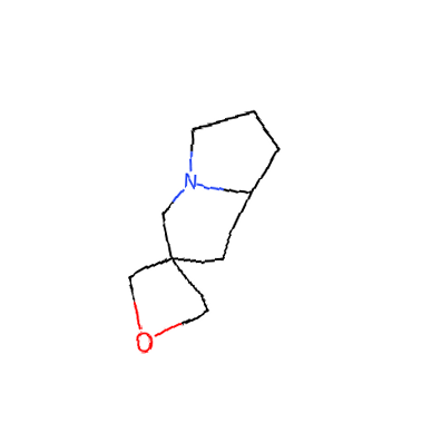 C1CC2CC3(COC3)CN2C1